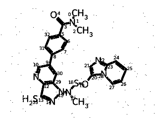 CN(C)C(=O)c1ccc(-c2cnc3cnn(N(C)SOc4cnc5ccccn45)c3c2)cc1.S